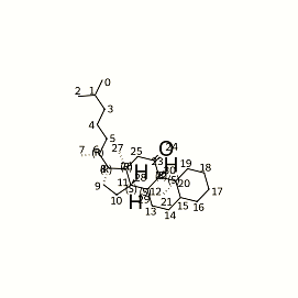 CC(C)CCC[C@@H](C)[C@H]1CC[C@H]2[C@@H]3CCC4CCCC[C@]4(C)[C@H]3C(=O)C[C@]12C